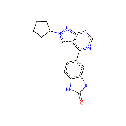 O=C1[N]c2cc(-c3ncnc4nn(C5CCCC5)cc34)ccc2N1